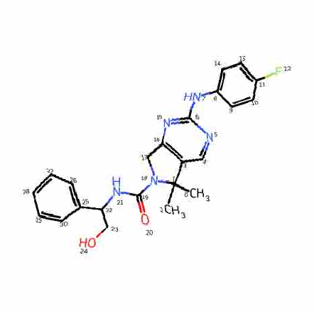 CC1(C)c2cnc(Nc3ccc(F)cc3)nc2CN1C(=O)NC(CO)c1ccccc1